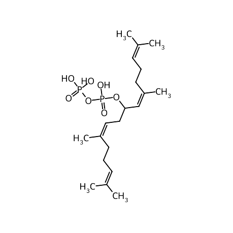 CC(C)=CCC/C(C)=C\CC(/C=C(/C)CCC=C(C)C)OP(=O)(O)OP(=O)(O)O